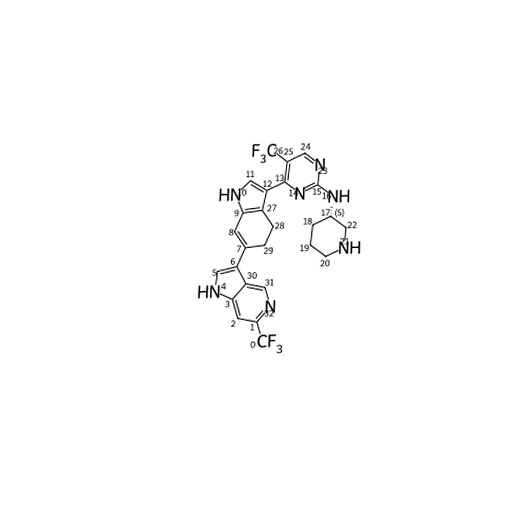 FC(F)(F)c1cc2[nH]cc(C3=Cc4[nH]cc(-c5nc(N[C@H]6CCCNC6)ncc5C(F)(F)F)c4CC3)c2cn1